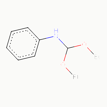 CCOC(Nc1ccccc1)OCC